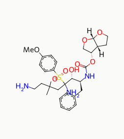 COc1ccc(S(=O)(=O)C(N)(CC(C)(C)CCN)[C@H](O)[C@H](Cc2ccccc2)NC(=O)O[C@@H]2CO[C@@H]3OCC[C@@H]32)cc1